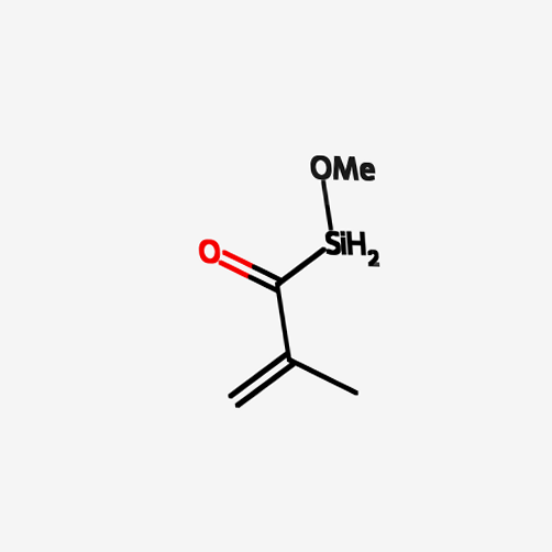 C=C(C)C(=O)[SiH2]OC